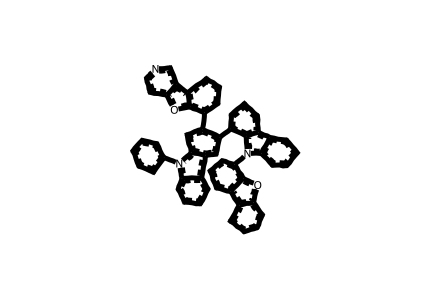 c1ccc(-n2c3ccccc3c3cc(-c4cccc5c6ccccc6n(-c6cccc7c6oc6ccccc67)c45)c(-c4cccc5c4oc4ccncc45)cc32)cc1